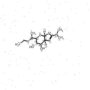 CCO[C@@H](C)[C@H]1O[C@@H]2SC(N(C)C)=N[C@@H]2[C@@H](O)[C@@H]1O